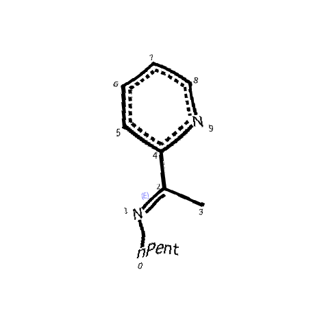 CCCCC/N=C(\C)c1ccccn1